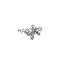 CCC(NC(=O)N1C(=O)[C@H](Cc2cc(C)nc(N)c2)[C@H]1C(=O)N(C)c1ccncc1)c1ccccc1